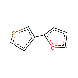 [c]1ccc(-c2ccsc2)o1